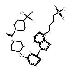 CC(C)(O)C1CCN(C(=O)[C@H]2CC[C@H](Nc3nccc(-n4ccc5c(OCCCS(C)(=O)=O)cccc54)n3)CC2)CC1